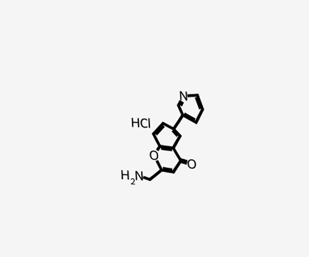 Cl.NCc1cc(=O)c2cc(-c3cccnc3)ccc2o1